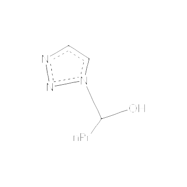 CCCC(O)n1ccnn1